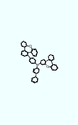 c1ccc(-c2ccc(N(c3ccc(-c4cccc5c4-c4ccccc4Oc4ccccc4-5)cc3)c3ccc4c(c3)Oc3ccccc3-c3ccccc3-4)cc2)cc1